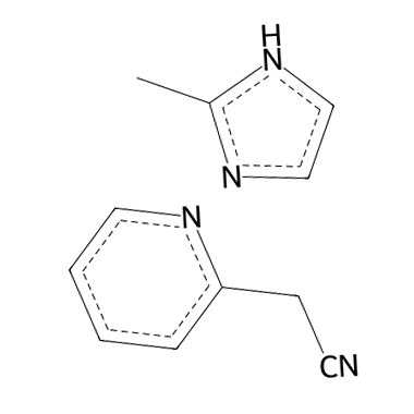 Cc1ncc[nH]1.N#CCc1ccccn1